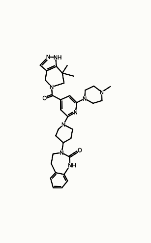 CN1CCN(c2cc(C(=O)N3Cc4cn[nH]c4C(C)(C)C3)cc(N3CCC(N4CCc5ccccc5NC4=O)CC3)n2)CC1